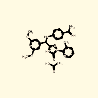 CC(=O)O.COc1cc(C(Nc2ccc(C(=N)N)cc2)c2nn(-c3ncccc3N)c(=O)[nH]2)cc(OC)n1